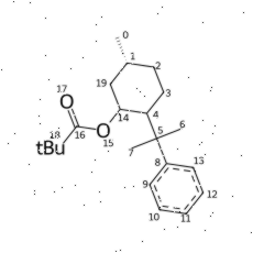 C[C@@H]1CCC(C(C)(C)c2ccccc2)C(OC(=O)C(C)(C)C)C1